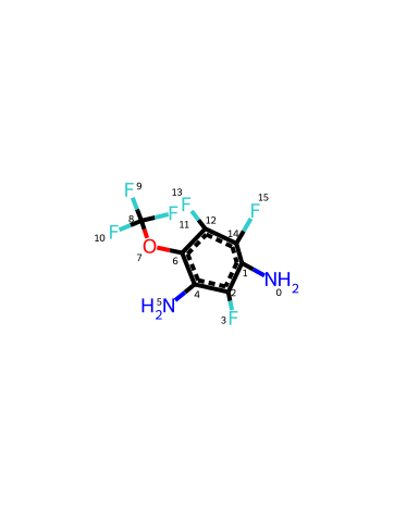 Nc1c(F)c(N)c(OC(F)(F)F)c(F)c1F